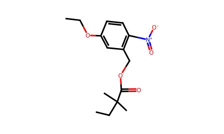 CCOc1ccc([N+](=O)[O-])c(COC(=O)C(C)(C)CC)c1